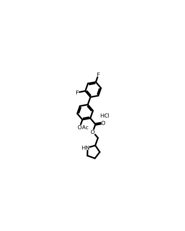 CC(=O)Oc1ccc(-c2ccc(F)cc2F)cc1C(=O)OCC1CCCN1.Cl